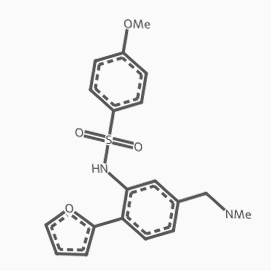 CNCc1ccc(-c2ccco2)c(NS(=O)(=O)c2ccc(OC)cc2)c1